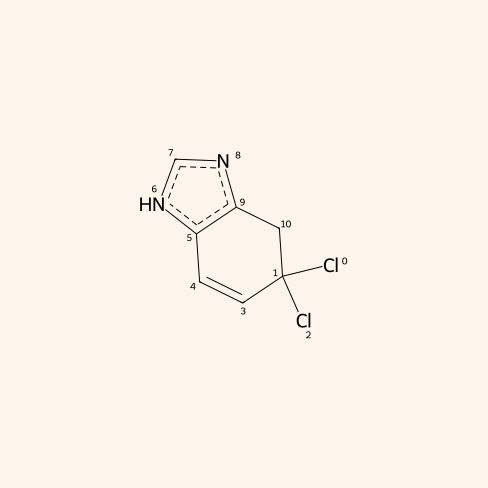 ClC1(Cl)C=Cc2[nH]cnc2C1